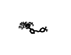 CC1(C)OB(c2cccc(CCC3CCC(F)(F)CC3)c2)OC1(C)C